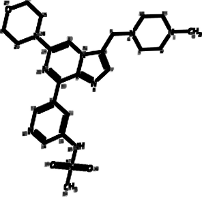 CN1CCN(Cc2cnc3c(-c4cncc(NS(C)(=O)=O)c4)nc(N4CCOCC4)cn23)CC1